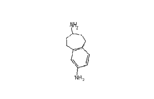 Nc1ccc2c(c1)CCC(N)CC2